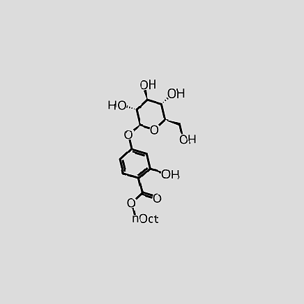 CCCCCCCCOC(=O)c1ccc(O[C@@H]2O[C@H](CO)[C@@H](O)[C@H](O)[C@H]2O)cc1O